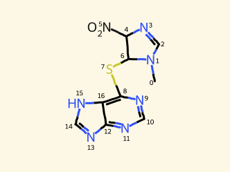 CN1C=NC([N+](=O)[O-])C1Sc1ncnc2nc[nH]c12